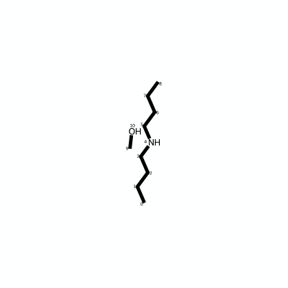 CCCCNCCCC.CO